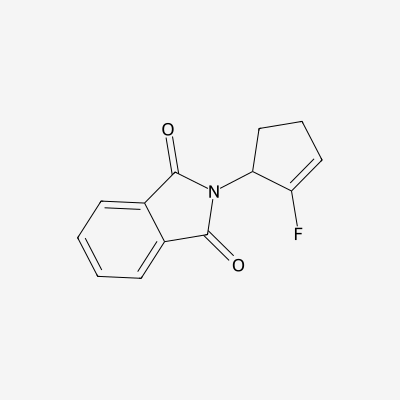 O=C1c2ccccc2C(=O)N1C1CCC=C1F